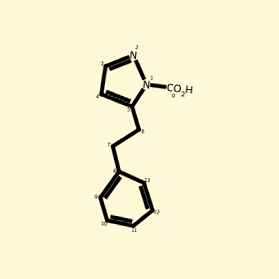 O=C(O)n1nccc1CCc1ccccc1